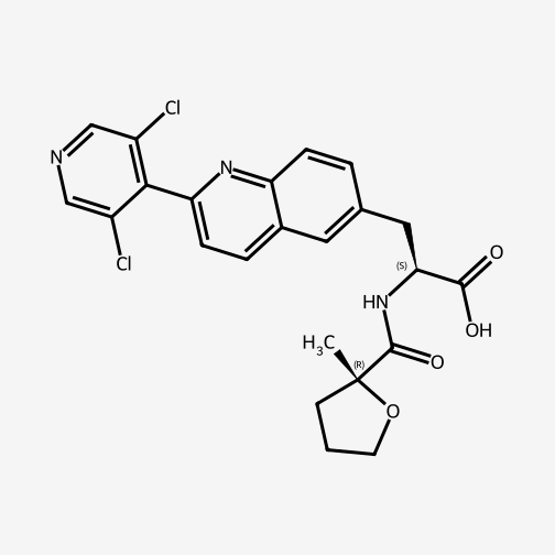 C[C@]1(C(=O)N[C@@H](Cc2ccc3nc(-c4c(Cl)cncc4Cl)ccc3c2)C(=O)O)CCCO1